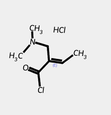 C/C=C(\CN(C)C)C(=O)Cl.Cl